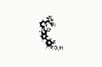 CC(C)n1cnnc1-c1cccc(N2Cc3ccc(-c4cc(F)c(C(=O)O)c(F)c4)cc3C2=O)n1